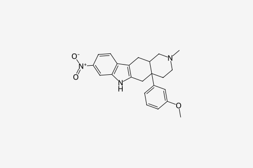 COc1cccc(C23CCN(C)CC2Cc2c([nH]c4cc([N+](=O)[O-])ccc24)C3)c1